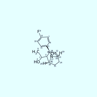 CC(O)C1[C@@H](c2ccc(F)cc2)C[C@@H]2CC[C@H]1N2C